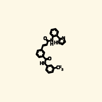 O=C(/C=C/c1cccc(C(=O)Nc2cccc(C(F)(F)F)c2)c1)Nc1ccccc1-c1ncc[nH]1